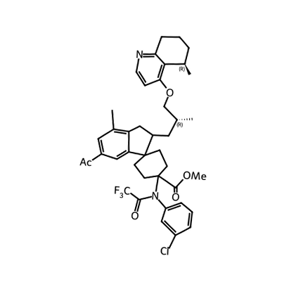 COC(=O)C1(N(C(=O)C(F)(F)F)c2cccc(Cl)c2)CCC2(CC1)c1cc(C(C)=O)cc(C)c1CC2C[C@@H](C)COc1ccnc2c1[C@H](C)CCC2